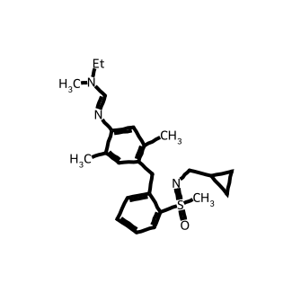 CCN(C)C=Nc1cc(C)c(Cc2ccccc2S(C)(=O)=NCC2CC2)cc1C